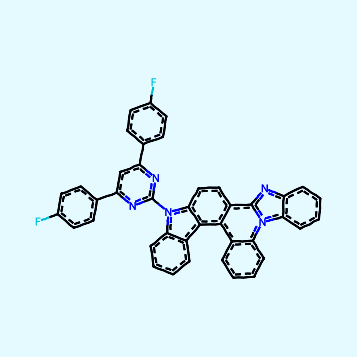 Fc1ccc(-c2cc(-c3ccc(F)cc3)nc(-n3c4ccccc4c4c5c6ccccc6n6c7ccccc7nc6c5ccc43)n2)cc1